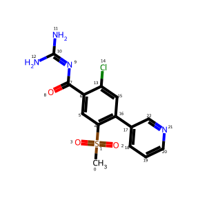 CS(=O)(=O)c1cc(C(=O)N=C(N)N)c(Cl)cc1-c1cccnc1